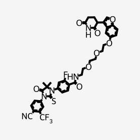 CC1(C)C(=O)N(c2ccc(C#N)c(C(F)(F)F)c2)C(=S)N1c1ccc(C(=O)NCCOCCOCCOc2ccc3occ(C4CCC(=O)NC4=O)c3c2)c(F)c1